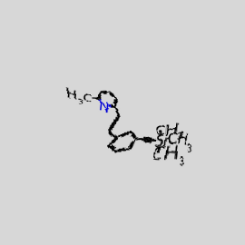 Cc1cccc(C=Cc2cccc(C#C[Si](C)(C)C)c2)n1